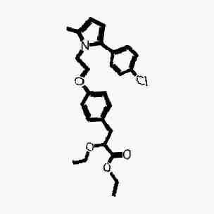 CCOC(=O)C(Cc1ccc(OCCn2c(C)ccc2-c2ccc(Cl)cc2)cc1)OCC